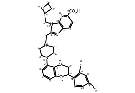 O=C(O)c1ccc2nc(CN3CCN(c4cccc5c4OCC(c4ccc(Cl)cc4F)O5)CC3)n(C[C@@H]3CCO3)c2n1